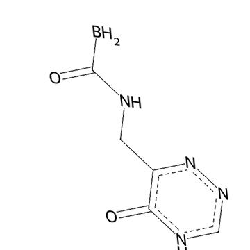 BC(=O)NCc1nnc[nH]c1=O